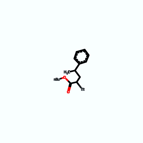 CCCCOC(=O)C(CC)CC(C)c1ccccc1